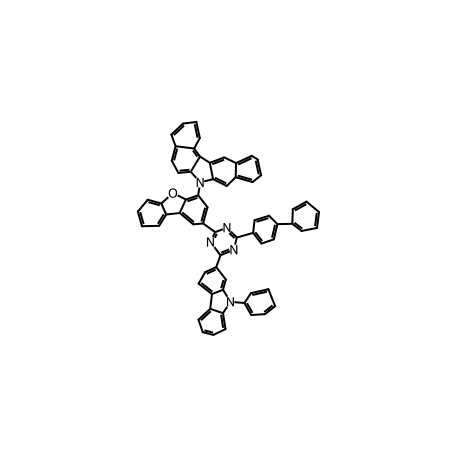 c1ccc(-c2ccc(-c3nc(-c4cc(-n5c6cc7ccccc7cc6c6c7ccccc7ccc65)c5oc6ccccc6c5c4)nc(-c4ccc5c6ccccc6n(-c6ccccc6)c5c4)n3)cc2)cc1